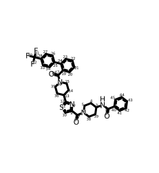 O=C(NC1CCN(C(=O)c2csc(C3CCN(C(=O)c4ccccc4-c4ccc(C(F)(F)F)cc4)CC3)n2)CC1)c1ccccc1